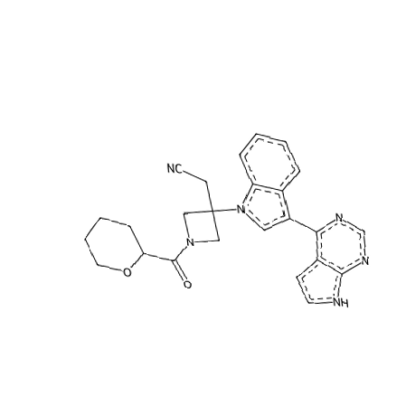 N#CCC1(n2cc(-c3ncnc4[nH]ccc34)c3ccccc32)CN(C(=O)C2CCCCO2)C1